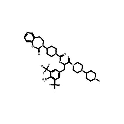 CN1CCC(N2CCN(C(=O)C(Cc3cc(C(F)(F)F)c(N)c(C(F)(F)F)c3)OC(=O)N3CCC(N4CCc5ccccc5NC4=O)CC3)CC2)CC1